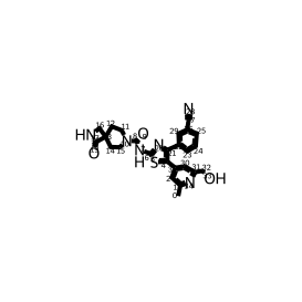 Cc1cc(-c2sc(NC(=O)N3CCC4(CC3)CNC4=O)nc2-c2cccc(C#N)c2)cc(CO)n1